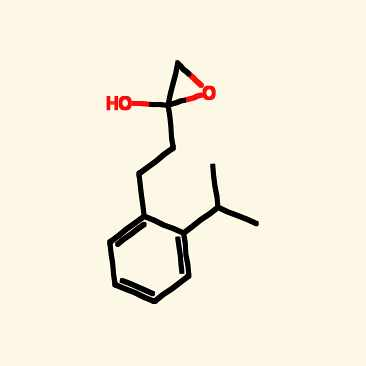 CC(C)c1ccccc1CCC1(O)CO1